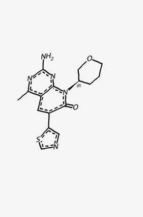 Cc1nc(N)nc2c1cc(-c1cncs1)c(=O)n2[C@@H]1CCCOC1